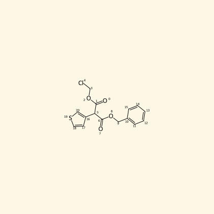 O=C(OCCl)C(C(=O)OCc1ccccc1)c1ccsc1